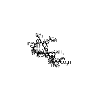 CC[C@H](C)[C@H](NC(=O)[C@H](CCCNC(=N)N)NC(=O)[C@H](CCCCN)NC(=O)[C@H](CC(C)C)NC(=O)[C@H](CC(C)C)NC(=O)[C@@H](N)CS)C(=O)N[C@@H](CCCCN)C(=O)N[C@@H](CS)C(=O)N[C@@H](CC(C)C)C(=O)N[C@@H](CC(C)C)C(=O)O